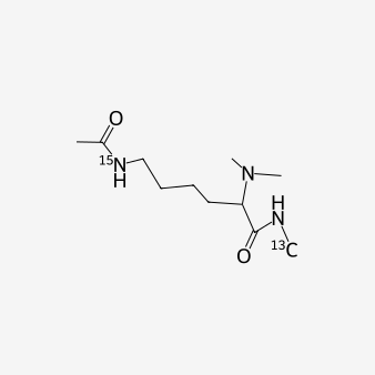 CC(=O)[15NH]CCCCC(C(=O)N[13CH3])N(C)C